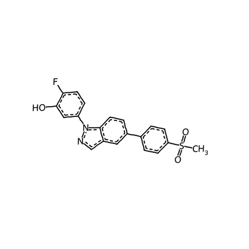 CS(=O)(=O)c1ccc(-c2ccc3c(cnn3-c3ccc(F)c(O)c3)c2)cc1